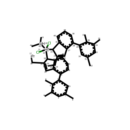 Cc1cc(C)c(C)c(-c2cccc3c2C=C(CC(C)C)[CH]3[Hf]([Cl])([Cl])([CH]2C(CC(C)C)=Cc3c(-c4cc(C)cc(C)c4C)cccc32)[SiH](C)C)c1